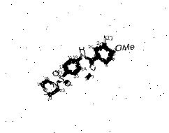 CC.COc1ccc(C(=O)Nc2ccc(S(=O)(=O)N3CCSCC3)cc2)cc1I